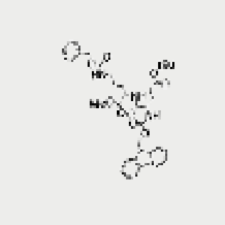 COC(=O)[C@H](CCCNC(=O)OCc1ccccc1)NC(=O)[C@H](CCC(=O)OC(C)(C)C)NC(=O)OCC1c2ccccc2-c2ccccc21